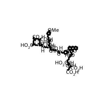 COc1ccc(CCCC(=O)NCC(=O)N[C@@H](CCCCNC(=O)CN2CCN(CC(=O)O)CCN(CC(=O)O)CCN(CC(=O)O)CC2)C(=O)NCC(=O)NCC(=O)NCC2CCC(C=O)(CN[C@@H](Cc3c4ccccc4cc4ccccc34)C(=O)NCCCC[C@H](NC(=O)N[C@@H](CCCC(=O)O)C(=O)O)C(=O)O)CC2)cc1